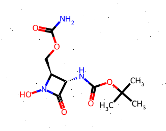 CC(C)(C)OC(=O)N[C@@H]1C(=O)N(O)[C@H]1COC(N)=O